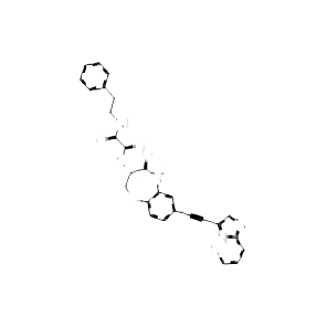 CN1C(=O)[C@@H](NC(=O)C(=O)NCCc2ccccc2)COc2ccc(C#Cc3cnc4cccnn34)cc21